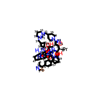 Cc1ncsc1-c1ccc([C@H](C)NC(=O)[C@@H]2C[C@@H](O)CN2C(=O)[C@@H](c2cc(N3CCC(CN4CCCN(CC5CC(Oc6cc(N7C8CCC7CN(c7cc(-c9ccccc9O)nnc7N)C8)ccn6)C5)C4)CC3)no2)C(C)C)cc1